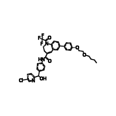 CCCCOCCOc1ccc(-c2ccc3c(c2)C=C(C(=O)Nc2ccc(C(O)c4ccc(Cl)cn4)cc2)CCN3C(=O)C(F)(F)F)cc1